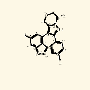 Cc1cc(-c2c(-c3ccc(F)cc3)nn3c2COC[C@@H]3C)c2cn[nH]c2n1